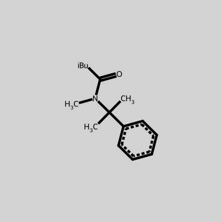 CCC(C)C(=O)N(C)C(C)(C)c1ccccc1